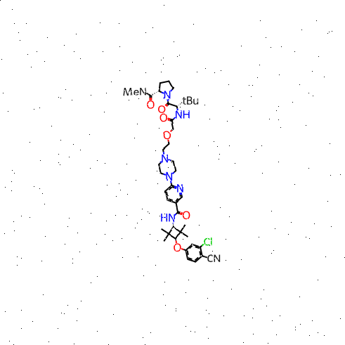 CNC(=O)[C@@H]1CCCN1C(=O)[C@@H](NC(=O)COCCN1CCN(c2ccc(C(=O)N[C@H]3C(C)(C)[C@H](Oc4ccc(C#N)c(Cl)c4)C3(C)C)cn2)CC1)C(C)(C)C